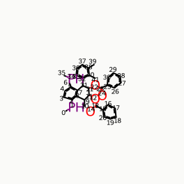 CPc1ccc(C)c2c1C(C)C(OC(=O)c1ccccc1)C(OC(=O)c1ccccc1)C2c1c(PC)ccc(C)c1C